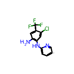 Nc1cc(C(F)(F)F)c(Cl)cc1Nc1cc[c]cn1